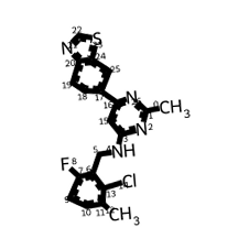 Cc1nc(NCc2c(F)ccc(C)c2Cl)cc(-c2ccc3ncsc3c2)n1